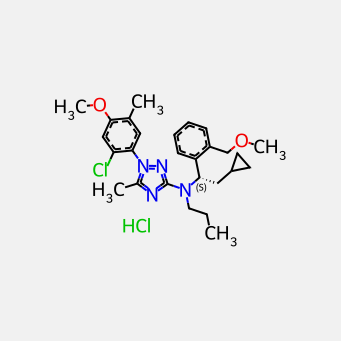 CCCN(c1nc(C)n(-c2cc(C)c(OC)cc2Cl)n1)[C@@H](CC1CC1)c1ccccc1COC.Cl